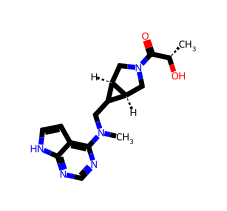 C[C@H](O)C(=O)N1C[C@@H]2C(CN(C)c3ncnc4[nH]ccc34)[C@@H]2C1